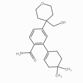 CC1(C)CC=C(c2cc(C3(CO)CCOCC3)ccc2C(N)=O)CC1